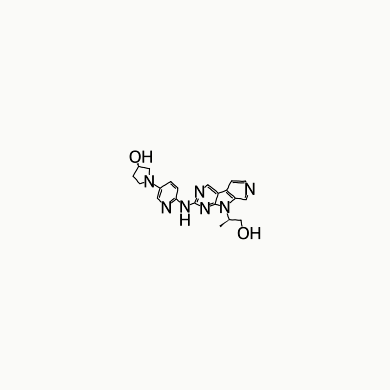 C[C@H](CO)n1c2cnccc2c2cnc(Nc3ccc(N4CC[C@@H](O)C4)cn3)nc21